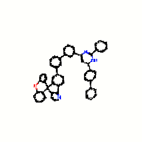 C1=C(c2cccc(-c3cccc(-c4ccc5c(c4)C4(c6ccccc6Oc6ccccc64)c4cccnc4-5)c3)c2)N=C(c2ccccc2)NC1c1ccc(-c2ccccc2)cc1